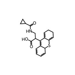 O=C(NCC(C(=O)O)C1=C2C=CC=CC2SC2=CCCC=C21)C1CC1